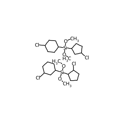 CO[Si](OC)(C1CCC(Cl)CC1)C1CCC(Cl)C1.CO[Si](OC)(C1CCCC(Cl)C1)C1CCCC1Cl